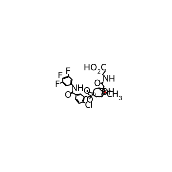 C[C@H]1CC2C[C@@H](S(=O)(=O)c3cc(C(=O)Nc4cc(F)c(F)c(F)c4)ccc3Cl)CC1[C@@]2(O)CC(=O)NCCC(=O)O